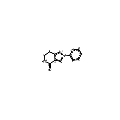 O=C1NCCc2nn(-c3ccccn3)cc21